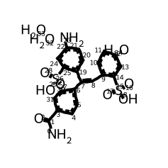 NC(=O)c1ccc(C(=Cc2ccccc2S(=O)(=O)O)c2ccc(N)cc2S(=O)(=O)O)cc1.O.O.O